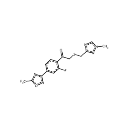 Cn1cnc(CSCC(=O)c2ccc(-c3noc(C(F)(F)F)n3)cc2F)n1